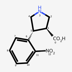 O=C(O)[C@@H]1CNC[C@H]1c1ccccc1[N+](=O)[O-]